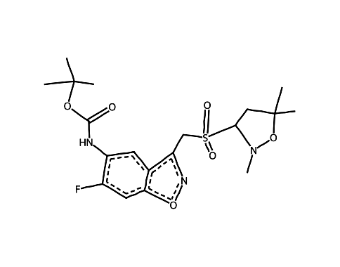 CN1OC(C)(C)CC1S(=O)(=O)Cc1noc2cc(F)c(NC(=O)OC(C)(C)C)cc12